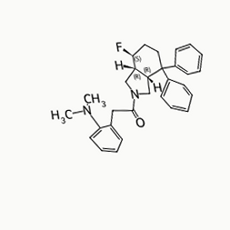 CN(C)c1ccccc1CC(=O)N1C[C@H]2[C@@H](C1)C(c1ccccc1)(c1ccccc1)CC[C@@H]2F